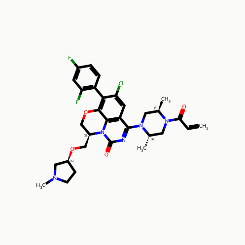 C=CC(=O)N1C[C@H](C)N(c2nc(=O)n3c4c(c(-c5ccc(F)cc5F)c(Cl)cc24)OC[C@@H]3CO[C@H]2CCN(C)C2)C[C@H]1C